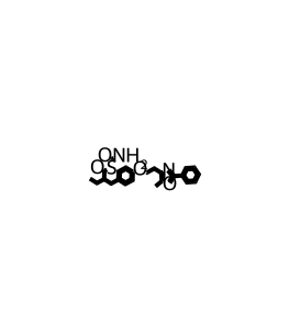 CCC(Cc1ccc(OCCc2nc(-c3ccccc3)oc2C)cc1)C(=O)SC(N)=O